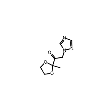 CC1(C(=O)Cn2cncn2)OCCO1